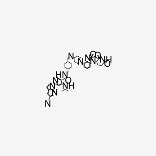 CC(C)Nc1cc(-n2ccc3cc(C#N)cnc32)ncc1C(=O)NC[C@H]1CC[C@H](CN(C)C2CCN(c3cccc4c3n(C)c(=O)n4C3CCC(=O)NC3=O)CC2)CC1